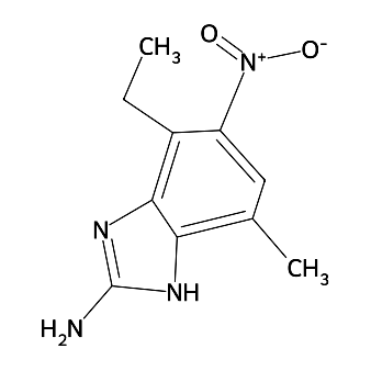 CCc1c([N+](=O)[O-])cc(C)c2[nH]c(N)nc12